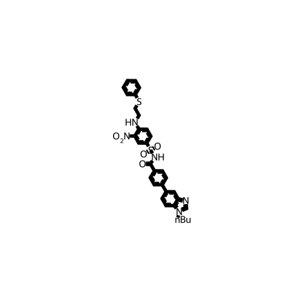 CCCCn1cnc2cc(-c3ccc(C(=O)NS(=O)(=O)c4ccc(NCCSc5ccccc5)c([N+](=O)[O-])c4)cc3)ccc21